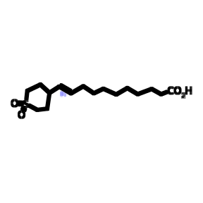 O=C(O)CCCCCCCC/C=C/C1CCS(=O)(=O)CC1